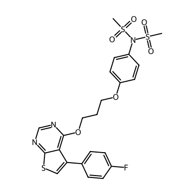 CS(=O)(=O)N(c1ccc(OCCCOc2ncnc3scc(-c4ccc(F)cc4)c23)cc1)S(C)(=O)=O